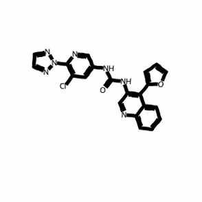 O=C(Nc1cnc(-n2nccn2)c(Cl)c1)Nc1cnc2ccccc2c1-c1ccco1